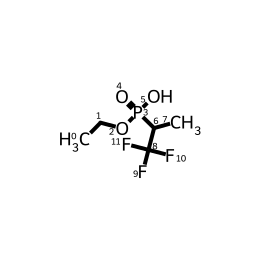 CCOP(=O)(O)C(C)C(F)(F)F